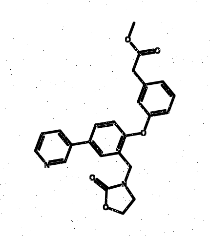 COC(=O)Cc1cccc(Oc2ccc(-c3cccnc3)cc2CN2CCOC2=O)c1